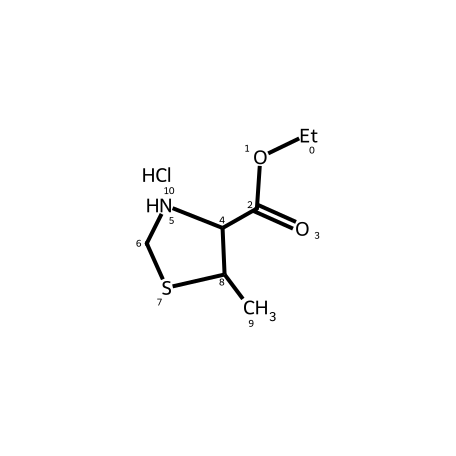 CCOC(=O)C1NCSC1C.Cl